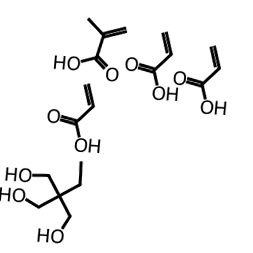 C=C(C)C(=O)O.C=CC(=O)O.C=CC(=O)O.C=CC(=O)O.CCC(CO)(CO)CO